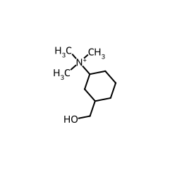 C[N+](C)(C)C1CCCC(CO)C1